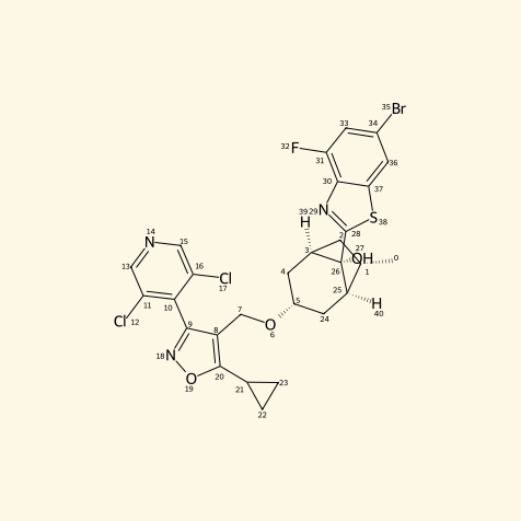 C[C@H]1C[C@@H]2C[C@@H](OCc3c(-c4c(Cl)cncc4Cl)noc3C3CC3)C[C@H]1[C@]2(O)c1nc2c(F)cc(Br)cc2s1